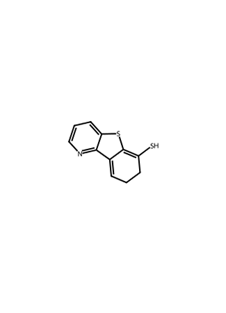 SC1=c2sc3cccnc3c2=CCC1